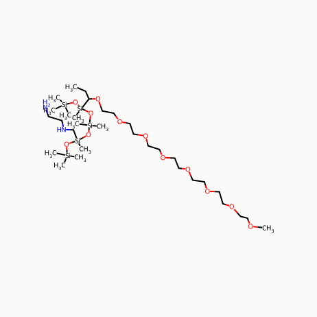 CCC(OCCOCCOCCOCCOCCOCCOCCOC)[Si](C)(O[Si](C)(C)C)O[Si](C)(C)O[Si](C)(CNCCN)O[Si](C)(C)C